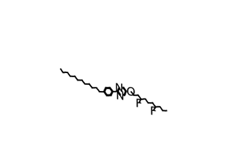 CCCCCCCCCCCCc1ccc(-c2ncc(OCCC(F)CCCC(F)CCC)cn2)cc1